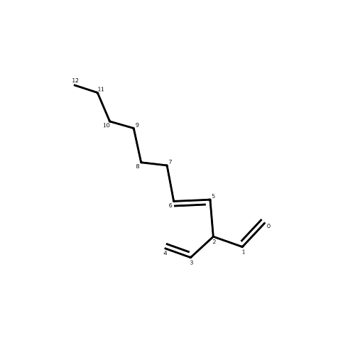 C=CC(C=C)C=CCCCCCC